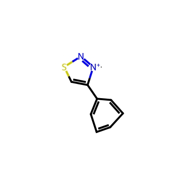 C1=C(c2ccccc2)[N+]=NS1